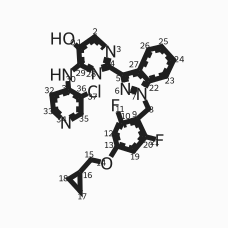 Oc1cnc(-c2nn(Cc3c(F)cc(OCC4CC4)cc3F)c3ccccc23)nc1Nc1ccncc1Cl